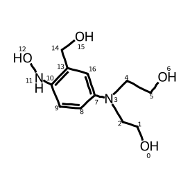 OCCN(CCO)c1ccc(NO)c(CO)c1